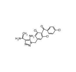 C=C(N)c1nnn(Cc2cc(Cl)c(C(=O)c3ccc(Cl)cc3)c(Cl)c2)c1N